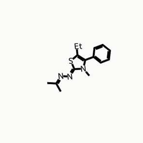 CCc1sc(=NN=C(C)C)n(C)c1-c1ccccc1